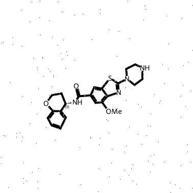 COc1cc(C(=O)N[C@H]2CCOc3ccccc32)cc2sc(N3CCNCC3)nc12